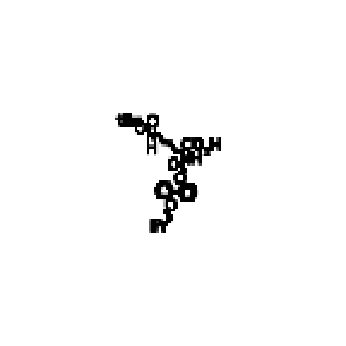 CC(C)CCOc1ccccc1-c1ccccc1OCC(=O)N[C@H](CCCCNC(=O)OC(C)(C)C)C(=O)O